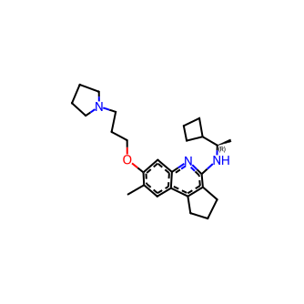 Cc1cc2c3c(c(N[C@H](C)C4CCC4)nc2cc1OCCCN1CCCC1)CCC3